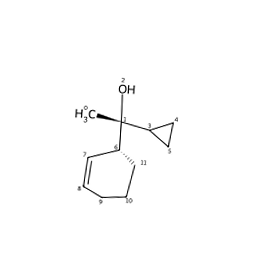 C[C@@](O)(C1CC1)[C@H]1C=CCCC1